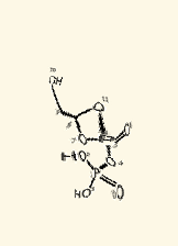 O=P(O)(O)OP1(=O)OC(CO)O1